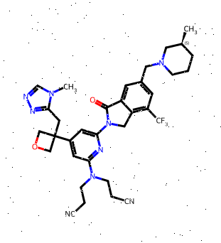 C[C@H]1CCCN(Cc2cc3c(c(C(F)(F)F)c2)CN(c2cc(C4(Cc5nncn5C)COC4)cc(N(CCC#N)CCC#N)n2)C3=O)C1